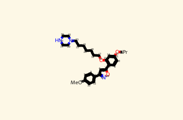 COc1ccc(-c2cc(-c3ccc(OC(C)C)cc3OCCCCCCCN3CCNCC3)on2)cc1